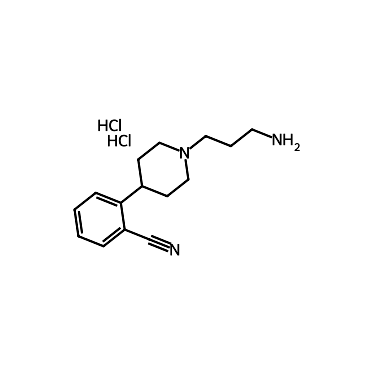 Cl.Cl.N#Cc1ccccc1C1CCN(CCCN)CC1